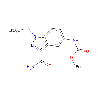 CCOC(=O)Cn1nc(C(N)=O)c2cc(NC(=O)OC(C)(C)C)ccc21